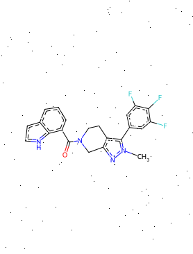 Cn1nc2c(c1-c1cc(F)c(F)c(F)c1)CCN(C(=O)c1cccc3cc[nH]c13)C2